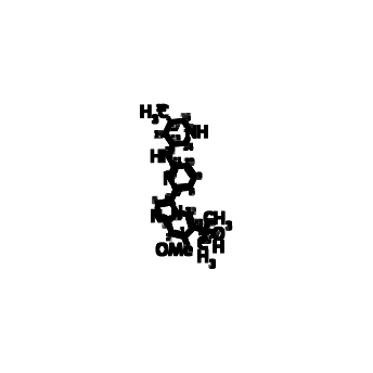 COc1cc2ncc(-c3cccc(N[C@@H]4CNC[C@@H](C)C4)n3)n2cc1C(C)(C)O